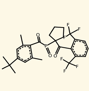 Cc1cc(C(C)(C)C)cc(C)c1C(=O)[P](=O)C1(C(=O)c2c(C(F)(F)F)cccc2C(F)(F)F)CCCC1